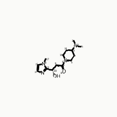 CN(C)C1CCN(C(=O)C[C@H](O)c2nccn2C)CC1